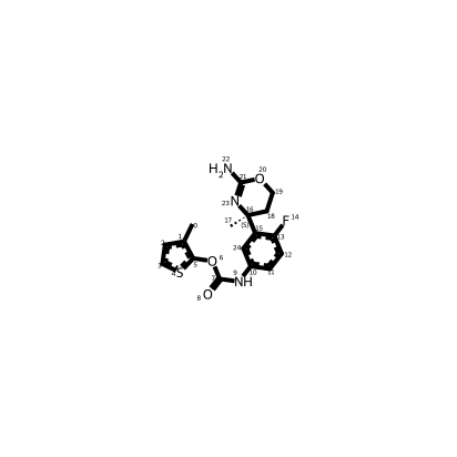 Cc1ccsc1OC(=O)Nc1ccc(F)c([C@]2(C)CCOC(N)=N2)c1